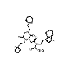 CCC(C=O)N(CCc1c[nH]c2ccccc12)C(=O)CC1C(=O)N(CCc2ccccc2)CC(=O)N1CCc1cccs1